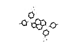 C[Si](C)(C)c1ccc(N(c2ccc(F)cc2)c2ccc3ccc4c(N(c5ccc(F)cc5)c5ccc([Si](C)(C)C)cc5)ccc5ccc2c3c54)cc1